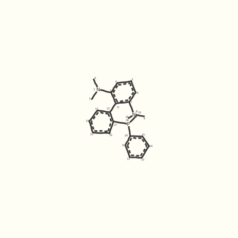 CN(C)c1cccc(N(C)C)c1-c1ccccc1P(I)c1ccccc1